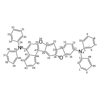 c1ccc(N(c2ccccc2)c2ccc3c(c2)oc2cc4c(cc23)oc2cc(N(c3ccccc3)c3ccccc3)c3ccccc3c24)cc1